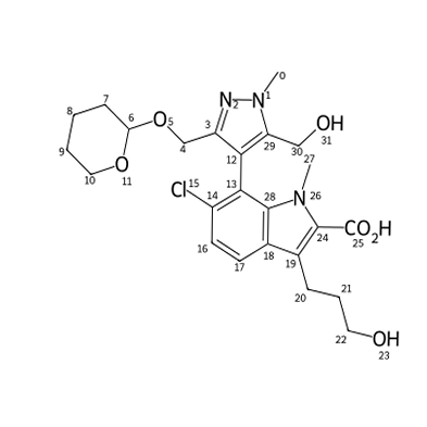 Cn1nc(COC2CCCCO2)c(-c2c(Cl)ccc3c(CCCO)c(C(=O)O)n(C)c23)c1CO